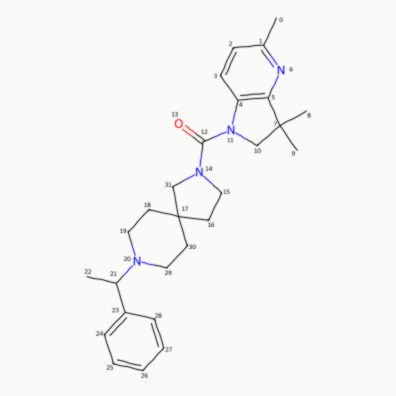 Cc1ccc2c(n1)C(C)(C)CN2C(=O)N1CCC2(CCN(C(C)c3ccccc3)CC2)C1